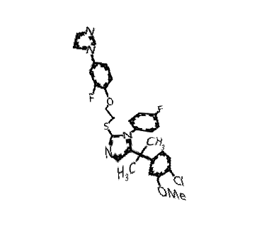 COc1cc(C(C)(C)c2cnc(SCCOc3ccc(-n4ccnc4)cc3F)n2-c2ccc(F)cc2)ccc1Cl